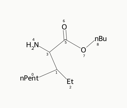 CCCCCC(CC)C(N)C(=O)OCCCC